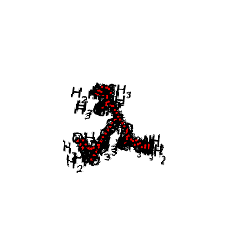 CC(C)[C@H](Nc1ccc(CO)cc1)C(=O)C[C@@H](CCCNC(N)=O)C(=O)CCCOCCOCCOCCOCCN(CCCCCCC(=O)CC[C@H](NC(=O)c1ccc(N(C)Cc2cnc3nc(N)nc(N)c3n2)cc1)C(=O)OCC[Si](C)(C)C)CCCCCNC(=O)CC[C@H](CC(=O)c1ccc(N(C)Cc2cnc3nc(N)nc(N)c3n2)cc1)C(=O)OCC[Si](C)(C)C